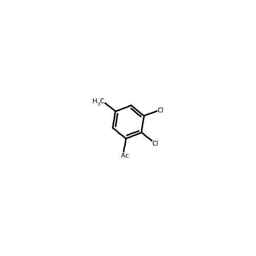 CC(=O)c1cc(C)cc(Cl)c1Cl